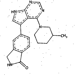 CC1CCCN(c2ncnc3[nH]cc(-c4ccc5c(c4)CNC5=O)c23)C1